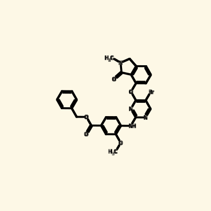 COc1cc(C(=O)OCc2ccccc2)ccc1Nc1ncc(Br)c(Oc2cccc3c2C(=O)N(C)C3)n1